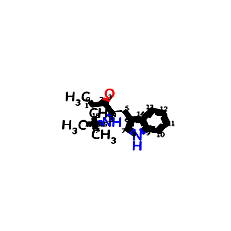 CCC(=O)[C@H](Cc1c[nH]c2ccccc12)NC(C)(C)C